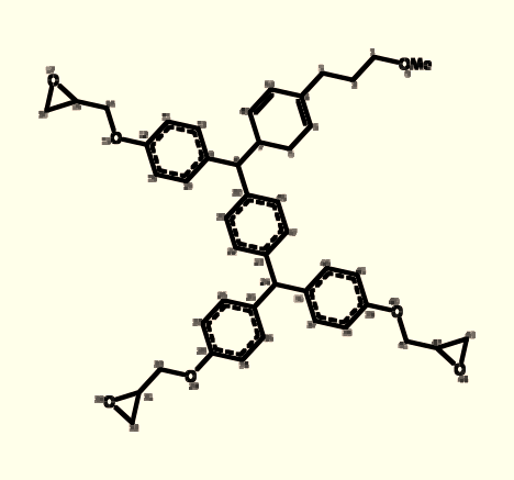 COCCCC1=CCC(C(c2ccc(OCC3CO3)cc2)c2ccc(C(c3ccc(OCC4CO4)cc3)c3ccc(OCC4CO4)cc3)cc2)C=C1